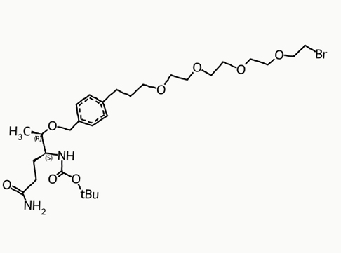 C[C@@H](OCc1ccc(CCCOCCOCCOCCOCCBr)cc1)[C@H](CCC(N)=O)NC(=O)OC(C)(C)C